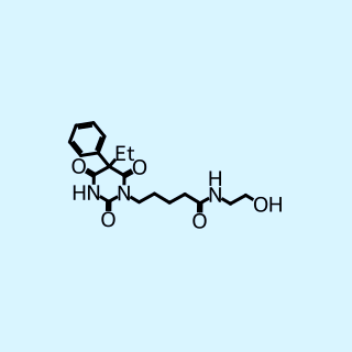 CCC1(c2ccccc2)C(=O)NC(=O)N(CCCCC(=O)NCCO)C1=O